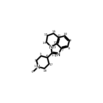 CN1CCC(c2nc3cccc4c3n2CCC4)CC1